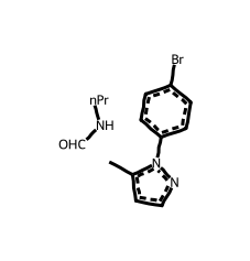 CCCNC=O.Cc1ccnn1-c1ccc(Br)cc1